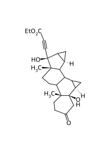 CCOC(=O)C#C[C@]1(O)C2C[C@H]2C2C3C4C[C@H]4[C@]4(O)CC(=O)CC[C@]4(C)C3CC[C@@]21C